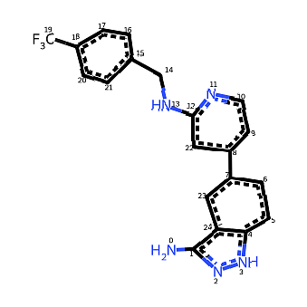 Nc1n[nH]c2ccc(-c3ccnc(NCc4ccc(C(F)(F)F)cc4)c3)cc12